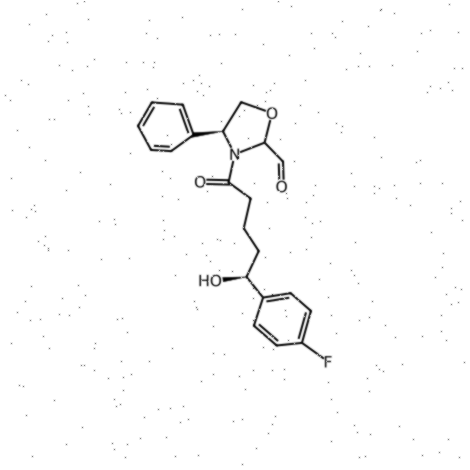 O=CC1OC[C@H](c2ccccc2)N1C(=O)CCC[C@H](O)c1ccc(F)cc1